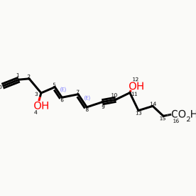 C#CCC(O)/C=C/C=C/C#CC(O)CCCC(=O)O